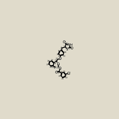 O=C1NC(=O)C(Cc2ccc(OCC(OCOC(=O)c3cccc(Cl)c3)c3ccccc3F)cc2)S1